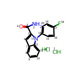 Cl.Cl.NC(=O)c1cc2ccccc2n1-c1ccc(F)cc1